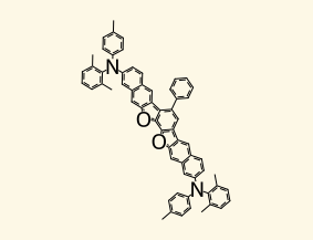 Cc1ccc(N(c2ccc3cc4c(cc3c2)oc2c4cc(-c3ccccc3)c3c4cc5ccc(N(c6ccc(C)cc6)c6c(C)cccc6C)cc5cc4oc23)c2c(C)cccc2C)cc1